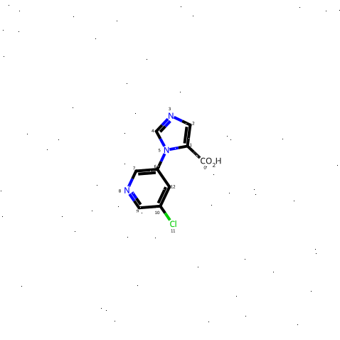 O=C(O)c1cncn1-c1cncc(Cl)c1